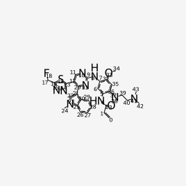 C=CC(=O)Nc1cc(Nc2ncc(-c3nnc(CF)s3)c(-c3cn(C)c4ccccc34)n2)c(OC)cc1N(C)CCN(C)C